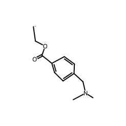 [CH2]COC(=O)c1ccc(CN(C)C)cc1